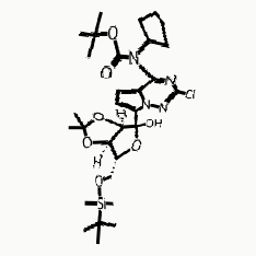 CC(C)(C)OC(=O)N(c1nc(Cl)nn2c(C3(O)O[C@H](CO[Si](C)(C)C(C)(C)C)[C@H]4OC(C)(C)O[C@H]43)ccc12)C1CCCC1